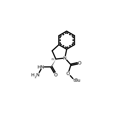 CC(C)(C)OC(=O)N1c2ccccc2C[C@H]1C(=O)NN